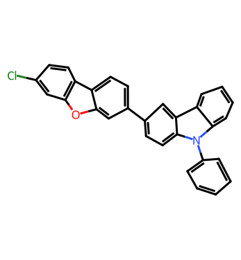 Clc1ccc2c(c1)oc1cc(-c3ccc4c(c3)c3ccccc3n4-c3ccccc3)ccc12